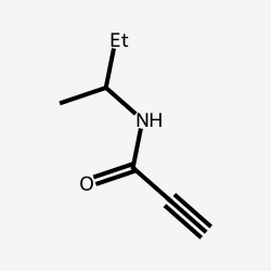 C#CC(=O)NC(C)CC